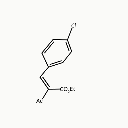 CCOC(=O)/C(=C\c1ccc(Cl)cc1)C(C)=O